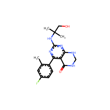 Cc1cc(F)ccc1-c1nc(NC(C)(C)CO)nc2c1C(=O)NCN2